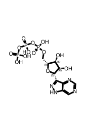 O=P(O)(O)OP(=O)(O)OP(=O)(O)OC[C@H]1O[C@@H](c2n[nH]c3cncnc23)[C@H](O)[C@@H]1O